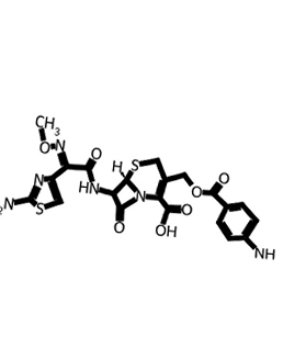 CO/N=C(/C(=O)NC1C(=O)N2C(C(=O)O)=C(COC(=O)c3ccc(N)cc3)CS[C@H]12)c1csc(N)n1